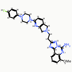 COc1cccc2c1nc(N)n1nc(CCN3Cc4ccc(N5CCN(c6ccc(F)cc6)CC5)nc4C3)nc21